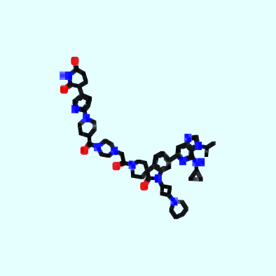 CC(C)n1cnc2cc(-c3ccc4c(c3)N(C3CC(N5CCCCC5)C3)C(=O)C43CCN(C(=O)CN4CCN(C(=O)C5CCN(c6ccc(C7CCC(=O)NC7=O)cn6)CC5)CC4)CC3)nc(NC3CC3)c21